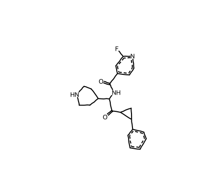 O=C(NC(C(=O)C1CC1c1ccccc1)C1CCNCC1)c1ccnc(F)c1